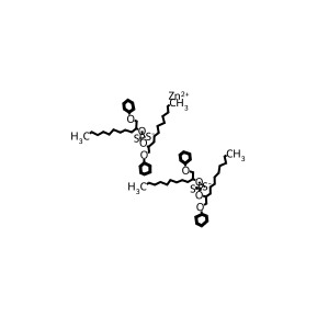 CCCCCCCCCC(COc1ccccc1)OP(=S)([S-])OC(CCCCCCCCC)COc1ccccc1.CCCCCCCCCC(COc1ccccc1)OP(=S)([S-])OC(CCCCCCCCC)COc1ccccc1.[Zn+2]